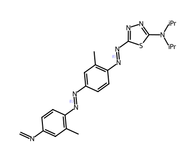 C=Nc1ccc(/N=N/c2ccc(/N=N/c3nnc(N(C(C)C)C(C)C)s3)c(C)c2)c(C)c1